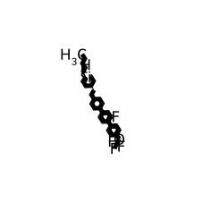 CCCCC[Si@H]1CC[C@H](CCC2CCC(c3ccc(-c4ccc(OC(F)(F)F)cc4)c(F)c3)CC2)CC1